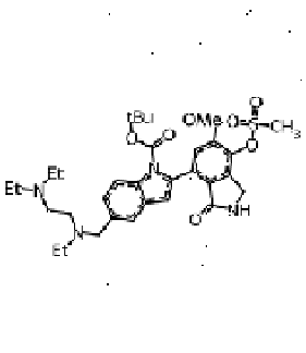 CCN(CC)CCN(CC)Cc1ccc2c(c1)cc(-c1cc(OC)c(OS(C)(=O)=O)c3c1C(=O)NC3)n2C(=O)OC(C)(C)C